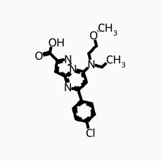 CCN(CCOC)c1cc(-c2ccc(Cl)cc2)nc2cc(C(=O)O)nn12